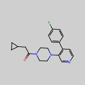 O=C(CC1CC1)N1CCN(c2cnccc2-c2ccc(F)cc2)CC1